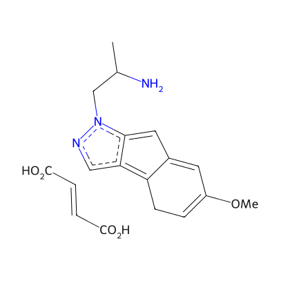 COC1=CCC2=c3cnn(CC(C)N)c3=CC2=C1.O=C(O)C=CC(=O)O